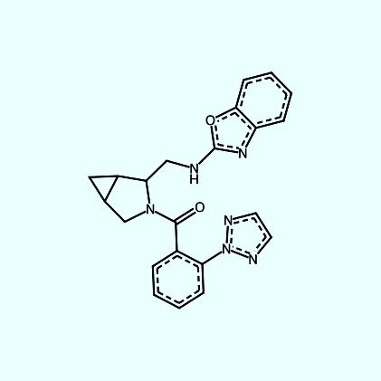 O=C(c1ccccc1-n1nccn1)N1CC2CC2C1CNc1nc2ccccc2o1